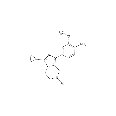 CC(=O)N1CCn2c(C3CC3)nc(-c3ccc(N)c(OC(F)(F)F)c3)c2C1